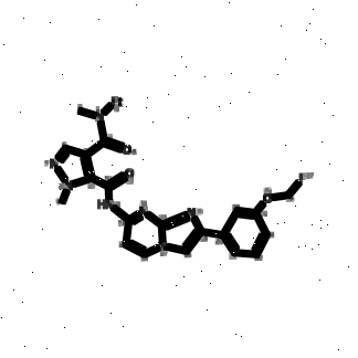 CCN(C)C(=O)c1cnn(C)c1C(=O)Nc1ccn2cc(-c3cccc(OCF)c3)nc2n1